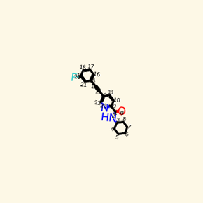 O=C(NC1CCCCC1)c1ccc(C#Cc2cccc(F)c2)cn1